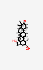 C=C(O)[C@]12CC[C@@H](CO)[C@H](C)C1C1=CCC3[C@@]4(C)CC[C@H](O)C(C)(C)C4CC[C@@]3(C)[C@]1(C)CC2